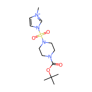 C[n+]1ccn(S(=O)(=O)N2CCN(C(=O)OC(C)(C)C)CC2)c1